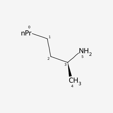 [CH2]CCCC[C@H](C)N